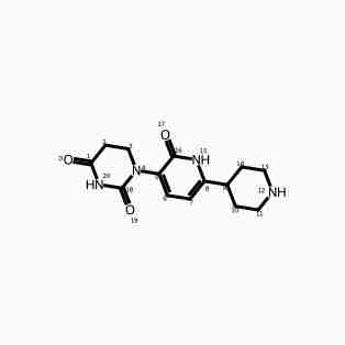 O=C1CCN(c2ccc(C3CCNCC3)[nH]c2=O)C(=O)N1